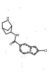 O=C(NC1CC2CNC1C2)c1ccn2cc(Cl)cc2c1